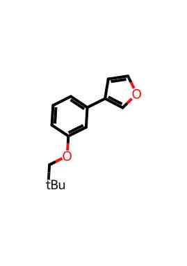 CC(C)(C)COc1cccc(-c2ccoc2)c1